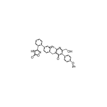 CCCc1nc(CO)c(-c2ccc(OC(C)C)cc2)c(=O)n1Cc1ccc(-c2ccccc2-c2noc(=O)[nH]2)cc1